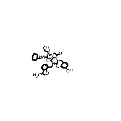 C=CCN(C(=O)NCc1ccccc1)N1CC(=O)N2[C@@H](Cc3ccc(O)cc3)C(=O)N(Cc3cccc4c3OCC4C)C[C@@H]21